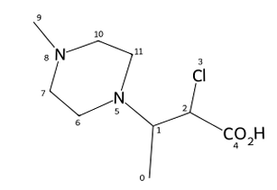 CC(C(Cl)C(=O)O)N1CCN(C)CC1